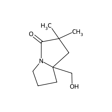 CC1(C)CC2(CO)CCCN2C1=O